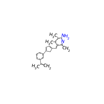 C=C(C)c1cccc(C2=CC=C(/C=c3\c(C)c(C)c(N)nc3=C)C2)c1